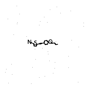 CC=CCOc1ccc(C#Cc2ccc(C#N)s2)cc1